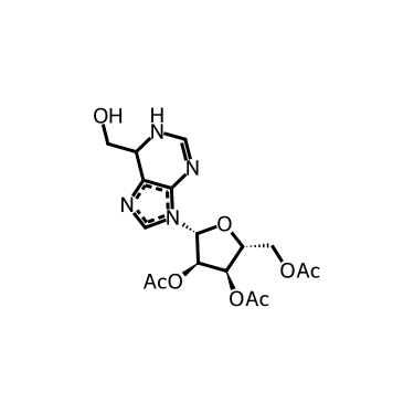 CC(=O)OC[C@H]1O[C@@H](n2cnc3c2N=CNC3CO)[C@H](OC(C)=O)[C@@H]1OC(C)=O